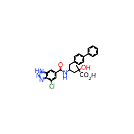 CC(O)(CC(Cc1ccc(-c2ccccc2)cc1)NC(=O)c1cc(Cl)c2nn[nH]c2c1)C(=O)O